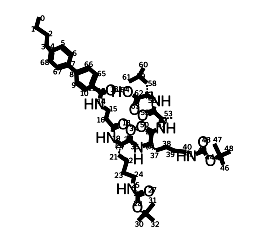 CCCCc1ccc(-c2ccc(C(=O)NCCC(=O)N[C@@H](CCCCNC(=O)OC(C)(C)C)C(=O)N[C@@H](CCCCNC(=O)OC(C)(C)C)C(=O)N[C@@H](C)C(=O)N[C@@H](CC(C)C)C(=O)O)cc2)cc1